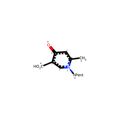 CCCCCn1cc(C(=O)O)c(=O)cc1C